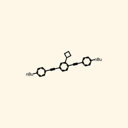 CCCCc1ccc(C#Cc2ccc(C#Cc3ccc(CCCC)cc3)c(C3CCC3)c2)cc1